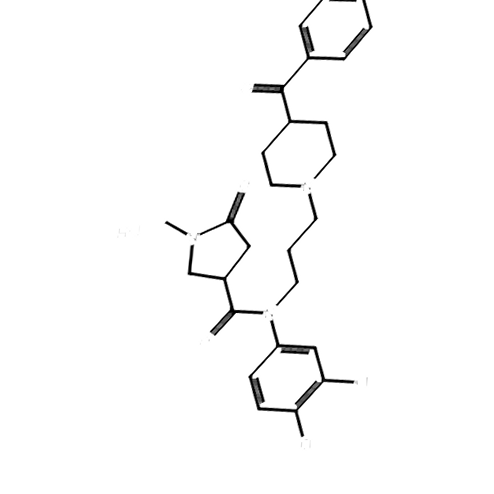 CN1CC(C(=O)N(CCCN2CCC(C(=O)c3ccc(F)cc3)CC2)c2ccc(Cl)c(Cl)c2)CC1=O.Cl